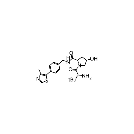 Cc1ncsc1-c1ccc(CNC(=O)[C@H]2C[C@@H](O)CN2C(=O)[C@@H](N)C(C)(C)C)cc1